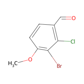 COc1ccc(C=O)c(Cl)c1Br